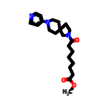 COC(=O)CCCCCCC(=O)N1CCC2(CCN(c3ccncc3)CC2)C1